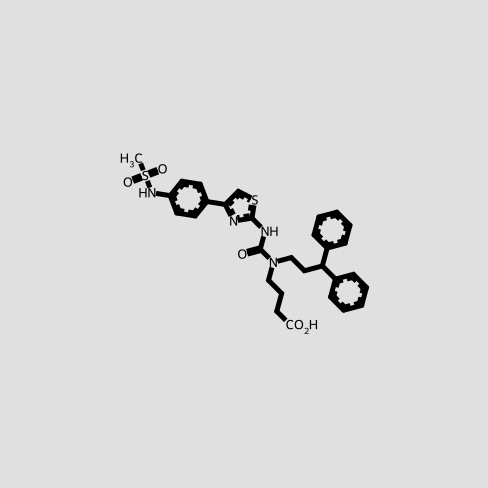 CS(=O)(=O)Nc1ccc(-c2csc(NC(=O)N(CCCC(=O)O)CCC(c3ccccc3)c3ccccc3)n2)cc1